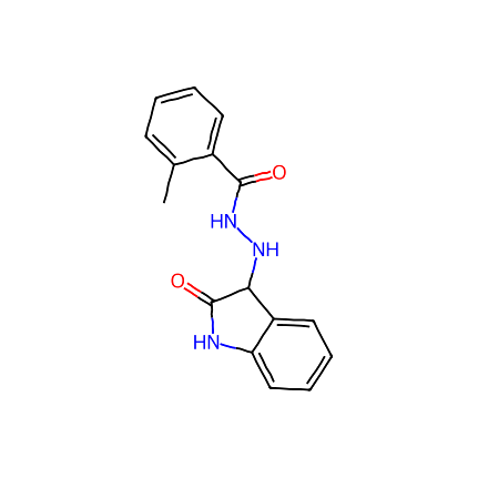 Cc1ccccc1C(=O)NNC1C(=O)Nc2ccccc21